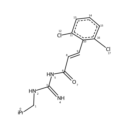 CC(C)CNC(=N)NC(=O)/C=C/c1c(Cl)cccc1Cl